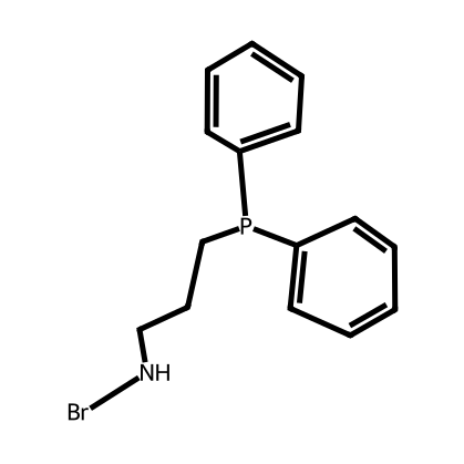 BrNCCCP(c1ccccc1)c1ccccc1